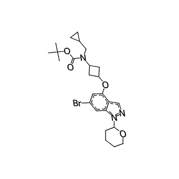 CC(C)(C)OC(=O)N(CC1CC1)C1CC(Oc2cc(Br)cc3c2cnn3C2CCCCO2)C1